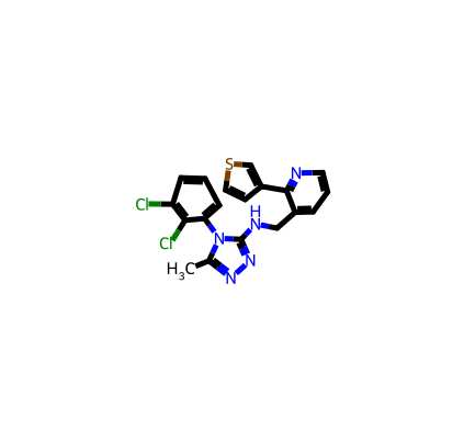 Cc1nnc(NCc2cccnc2-c2ccsc2)n1-c1cccc(Cl)c1Cl